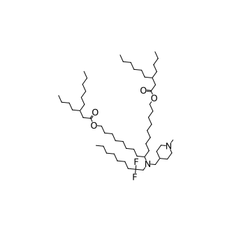 CCCCCCCC(F)(F)CN(CC1CCN(C)CC1)C(CCCCCCCCOC(=O)CC(CCCC)CCCCCC)CCCCCCCCOC(=O)CC(CCCC)CCCCCC